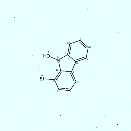 CCc1cccc2c3ccccc3n(O)c12